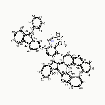 C/C=C\c1c(C)nc(-n2c3ccccc3c3c4sc5ccccc5c4c4c(ccc5sc6ccccc6c54)c32)nc1-c1ccc2c3ccccc3n(-c3ccccc3)c2c1